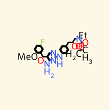 C=C(C)OC(=O)N(CC)CC(O)Cc1ccc(Nc2ncc(C(=O)c3cc(F)ccc3OC)c(N)n2)cc1